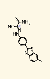 Cc1ccc2nc(-c3ccc(N/N=C(\C#N)C(N)=S)cc3)sc2c1